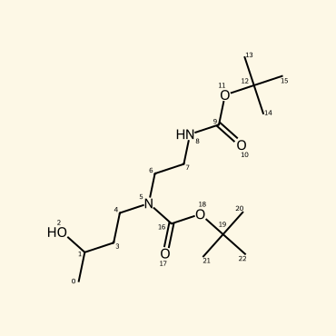 CC(O)CCN(CCNC(=O)OC(C)(C)C)C(=O)OC(C)(C)C